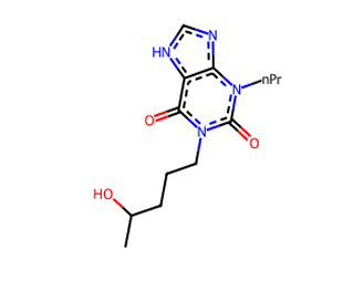 CCCn1c(=O)n(CCCC(C)O)c(=O)c2[nH]cnc21